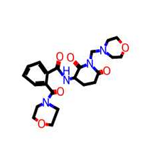 O=C(NC1CCC(=O)N(CN2CCOCC2)C1=O)c1ccccc1C(=O)N1CCOCC1